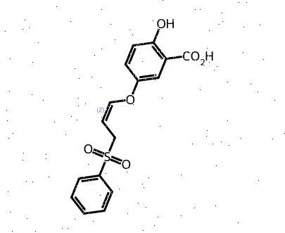 O=C(O)c1cc(O/C=C\CS(=O)(=O)c2ccccc2)ccc1O